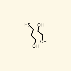 OCCO.OCCSS